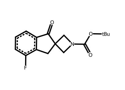 CC(C)(C)OC(=O)N1CC2(Cc3c(F)cccc3C2=O)C1